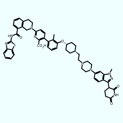 Cc1c(O[C@H]2CC[C@H](CCN3CCN(c4ccc5c(C6CCC(=O)NC6=O)nn(C)c5c4)CC3)CC2)cccc1-c1ccc(N2CCc3cccc(C(=O)Nc4nc5ccccc5s4)c3C2)nc1C(=O)O